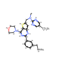 CCOC(=O)c1cnc(N(C)Cc2cc3nc(-c4cccc(CNC(C)=O)c4)nc(N4CCOCC4)c3s2)nc1